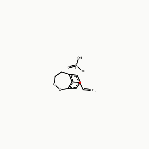 C=CCc1c2cccc1OOCC2.O=[PH](O)O